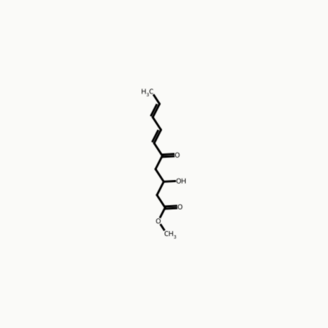 C/C=C/C=C/C(=O)CC(O)CC(=O)OC